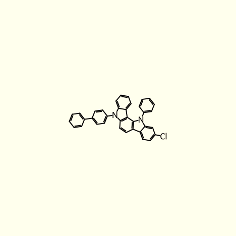 Clc1ccc2c3ccc4c(c5ccccc5n4-c4ccc(-c5ccccc5)cc4)c3n(-c3ccccc3)c2c1